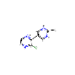 Cc1ncc(-c2nccnc2Cl)cn1